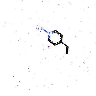 C=Cc1cc[n+](N)cc1.[I-]